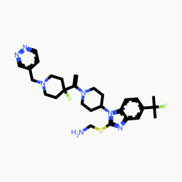 C=C(N1CCC(n2c(SCN)nc3cc(C(C)(C)F)ccc32)CC1)C1(F)CCN(Cc2ccnnc2)CC1